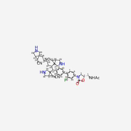 CC(=O)NC[C@H]1CN(c2ccc(-c3ccc(C(C(CCCCC45CNCC4C5C#N)C45CNCC4C5C#N)C45CNCC4C5C#N)cc3)c(F)c2)C(=O)O1